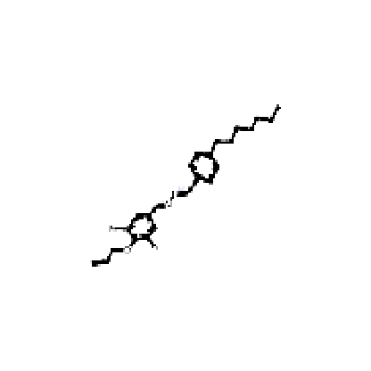 C=CCOc1c(F)cc(/C=N/N=C/c2ccc(CCCCCCC)cc2)cc1F